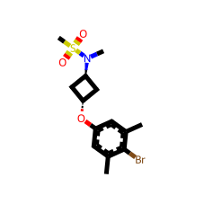 Cc1cc(O[C@H]2C[C@H](N(C)S(C)(=O)=O)C2)cc(C)c1Br